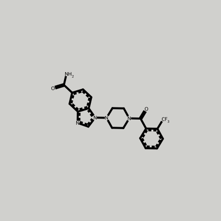 NC(=O)c1ccc2c(c1)ncn2N1CCN(C(=O)c2ccccc2C(F)(F)F)CC1